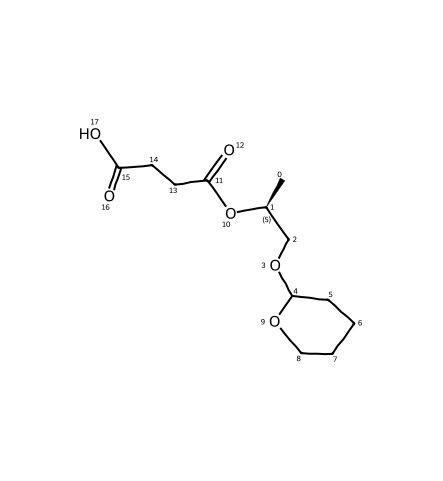 C[C@@H](COC1CCCCO1)OC(=O)CCC(=O)O